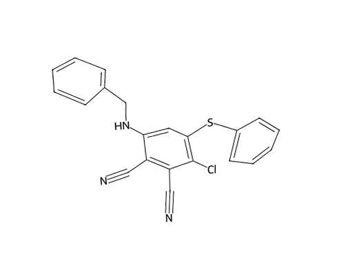 N#Cc1c(NCc2ccccc2)cc(Sc2ccccc2)c(Cl)c1C#N